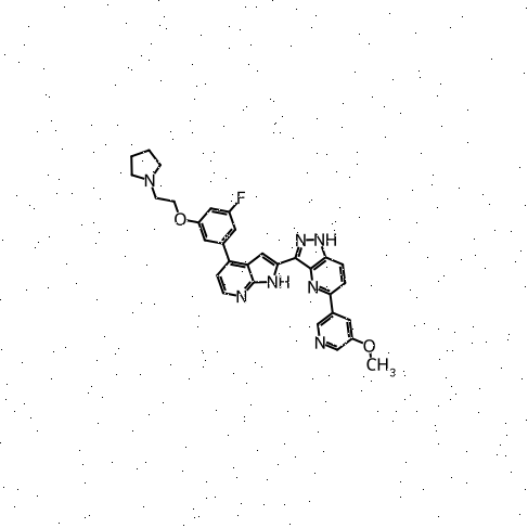 COc1cncc(-c2ccc3[nH]nc(-c4cc5c(-c6cc(F)cc(OCCN7CCCC7)c6)ccnc5[nH]4)c3n2)c1